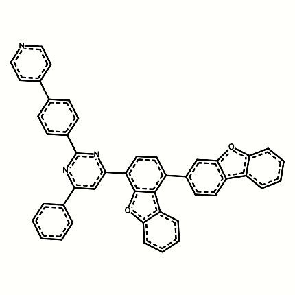 c1ccc(-c2cc(-c3ccc(-c4ccc5c(c4)oc4ccccc45)c4c3oc3ccccc34)nc(-c3ccc(-c4ccncc4)cc3)n2)cc1